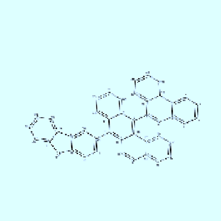 c1ccc2c(c1)cc(-c1c3ccccc3c(-c3ccc4oc5ccccc5c4c3)c3ccc4ccccc4c13)c1ccccc12